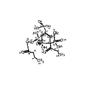 CCC(=O)C(NC(P(=O)(O)O)P(=O)(O)O)(P(=O)(O)O)P(=O)(O)O.CCCC(=O)O